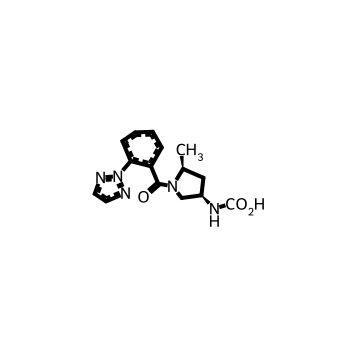 C[C@H]1C[C@@H](NC(=O)O)CN1C(=O)c1ccccc1-n1nccn1